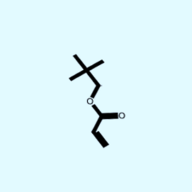 C=CC(=O)O[CH]C(C)(C)C